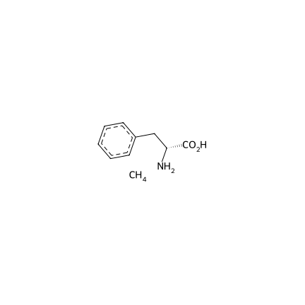 C.N[C@H](Cc1ccccc1)C(=O)O